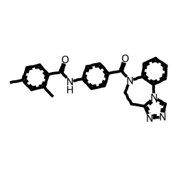 Cc1ccc(C(=O)Nc2ccc(C(=O)N3CCc4nncn4-c4ccccc43)cc2)c(C)c1